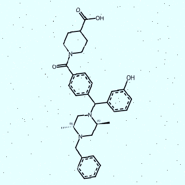 C[C@@H]1CN(C(c2ccc(C(=O)N3CCC(C(=O)O)CC3)cc2)c2cccc(O)c2)[C@@H](C)CN1Cc1ccccc1